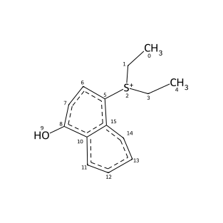 CC[S+](CC)c1ccc(O)c2ccccc12